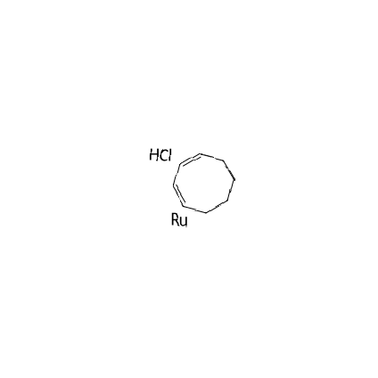 C1=CCCCCC=C1.Cl.[Ru]